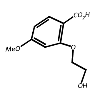 COc1ccc(C(=O)O)c(OCCO)c1